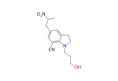 CC(Cc1cc(C#N)c2c(c1)CCN2CCCO)[N+](=O)[O-]